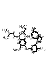 C=CC(=O)Nc1cc(Nc2ncc(C(F)(F)F)c(-n3ncc4cc(C#N)ccc43)n2)c(OC)cc1N(C)CCN(C)C